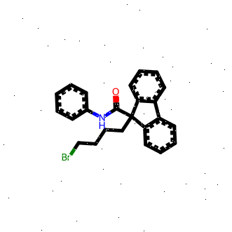 O=C(Nc1ccccc1)C1(CCCCBr)c2ccccc2-c2ccccc21